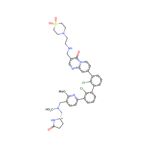 COc1nc(-c2cccc(-c3cccc(-c4ccn5c(=O)c(CNCCN6CCS(=O)(=O)CC6)cnc5c4)c3Cl)c2Cl)ccc1CN(C[C@@H]1CCC(=O)N1)C(=O)O